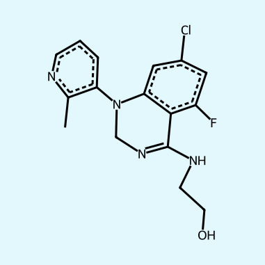 Cc1ncccc1N1CN=C(NCCO)c2c(F)cc(Cl)cc21